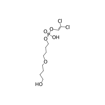 O=P(O)(OC=C(Cl)Cl)OCCCCOCCCCO